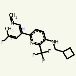 C=N/C=C(\C=C(/C)F)c1ccc(NCC2CCC2)c(C(F)(F)F)n1